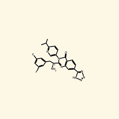 CC(C)c1ccc(-n2c([C@@H](N)Cc3cc(F)cc(F)c3)nc3cc(-c4nnn[nH]4)ccc3c2=O)cn1